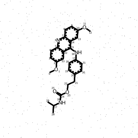 COc1ccc2nc3ccc(OC)cc3c(Nc3ccc(CCOC(=O)NC(C)C)cc3)c2c1